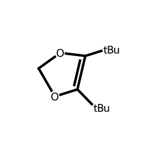 CC(C)(C)C1=C(C(C)(C)C)OCO1